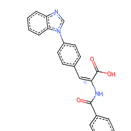 O=C(O)/C(=C\c1ccc(-n2cnc3ccccc32)cc1)NC(=O)c1ccccc1